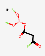 O=C(F)CC(=O)OB(OF)OF.[LiH]